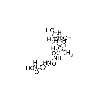 C[C@H](CCC(=O)NCC(=O)NCc1ccc(C(=O)NO)cc1)[C@H]1CC[C@H]2[C@@H]3[C@@H](O)C[C@@H]4C[C@H](O)CC[C@]4(C)[C@H]3CC[C@]12C